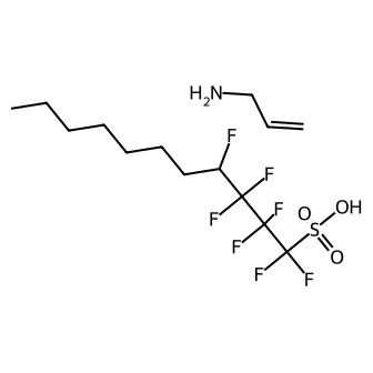 C=CCN.CCCCCCCC(F)C(F)(F)C(F)(F)C(F)(F)S(=O)(=O)O